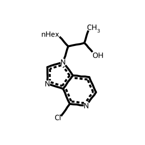 CCCCCCC(C(C)O)n1cnc2c(Cl)nccc21